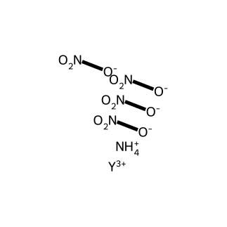 O=[N+]([O-])[O-].O=[N+]([O-])[O-].O=[N+]([O-])[O-].O=[N+]([O-])[O-].[NH4+].[Y+3]